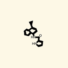 O=C(Nc1ccc(C2CC2)c2ccccc12)c1ccc[nH]1